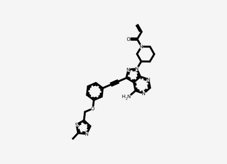 C=CC(=O)N1CCCC(n2nc(C#Cc3cccc(OCc4cnc(C)s4)c3)c3c(N)ncnc32)C1